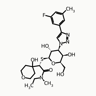 CCN(C)C(=O)[C@@H](S[C@@H]1O[C@H](CO)[C@H](O)[C@H](n2cc(-c3cc(C)cc(F)c3)nn2)[C@H]1O)C1(O)CCOCC1